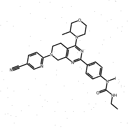 CCNC(=O)N(I)c1ccc(-c2nc3c(c(N4CCOCC4C)n2)CCN(c2ccc(C#N)cn2)C3)cc1